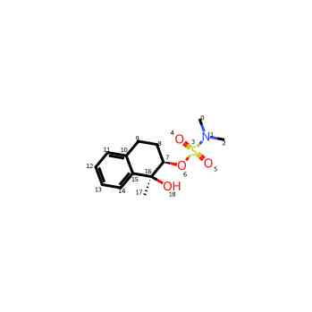 CN(C)S(=O)(=O)O[C@@H]1CCc2ccccc2[C@]1(C)O